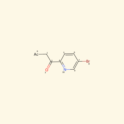 CC(=O)CC(=O)c1ccc(Br)cn1